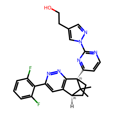 CC1(C)[C@H]2CC[C@]1(c1ccnc(-n3cc(CCO)cn3)n1)c1nnc(-c3c(F)cccc3F)cc12